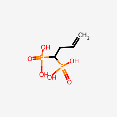 C=CCC(P(=O)(O)O)P(=O)(O)O